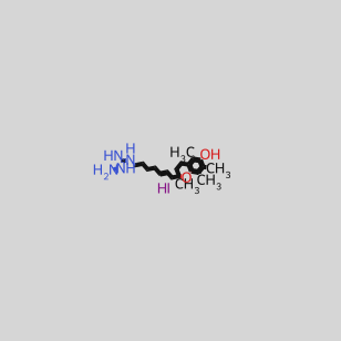 Cc1c(C)c2c(c(C)c1O)CCC(C)(CC=CCCCCNC(=N)NN)O2.I